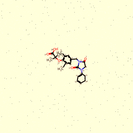 Cc1cc(CN2C(=O)CN(C3=CC=CCC3)C2=O)cc(C)c1OC(C)(C)C(=O)O